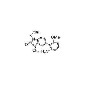 COc1cccc(N)c1-c1ccc2c(c1)n(C)c(=O)n2CC(C)(C)C